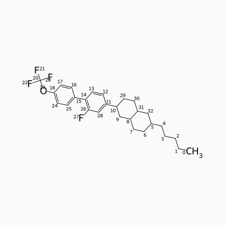 CCCCCC1CCC2CC(c3ccc(-c4ccc(OC(F)(F)F)cc4)c(F)c3)CCC2C1